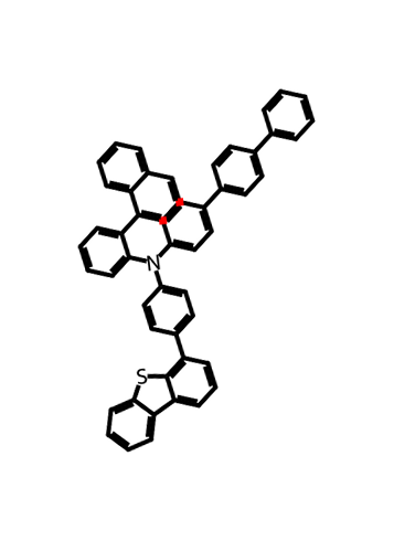 c1ccc(-c2ccc(-c3ccc(N(c4ccc(-c5cccc6c5sc5ccccc56)cc4)c4ccccc4-c4cccc5ccccc45)cc3)cc2)cc1